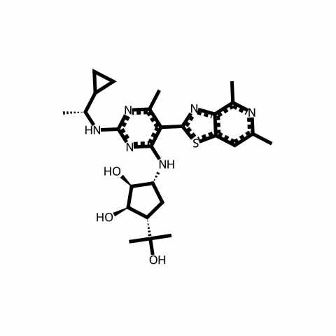 Cc1cc2sc(-c3c(C)nc(N[C@H](C)C4CC4)nc3N[C@@H]3C[C@H](C(C)(C)O)[C@@H](O)[C@H]3O)nc2c(C)n1